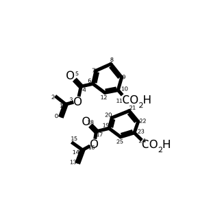 C=C(C)OC(=O)c1cccc(C(=O)O)c1.C=C(C)OC(=O)c1cccc(C(=O)O)c1